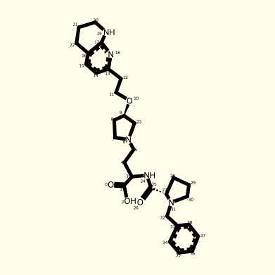 O=C(O)C(CCN1CC[C@@H](OCCc2ccc3c(n2)NCCC3)C1)NC(=O)[C@@H]1CCCN1Cc1ccccc1